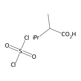 CC(C)C(C)C(=O)O.O=S(=O)(Cl)Cl